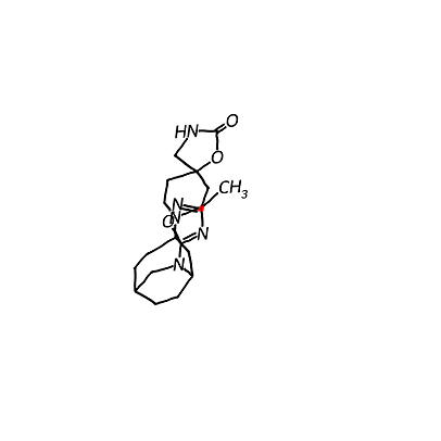 Cc1noc(N2CC3CCC(N4CCC5(CC4)CNC(=O)O5)CC2CC3)n1